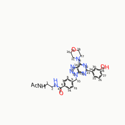 CC(=O)NCCNC(=O)c1ccc(Cn2nnc3c(N4CCOCC4)nc(-c4cccc(O)c4)nc32)cc1